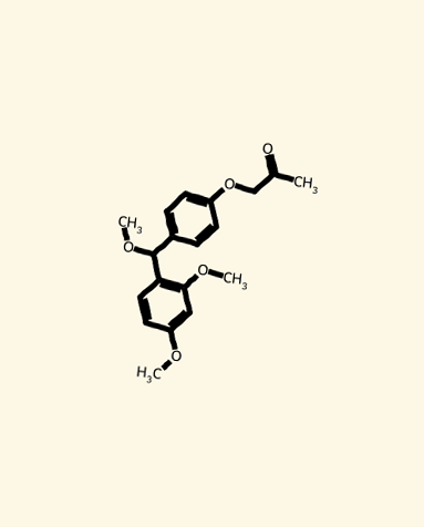 COc1ccc(C(OC)c2ccc(OCC(C)=O)cc2)c(OC)c1